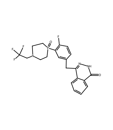 O=c1[nH]nc(Cc2ccc(F)c(P3(=O)CCN(CC(F)(F)F)CC3)c2)c2ccccc12